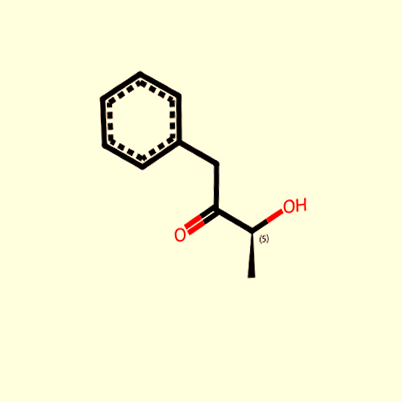 C[C@H](O)C(=O)Cc1ccccc1